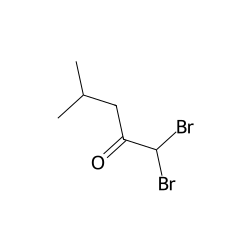 CC(C)CC(=O)C(Br)Br